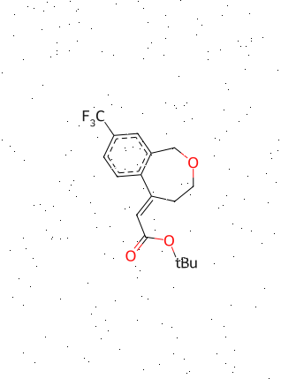 CC(C)(C)OC(=O)C=C1CCOCc2cc(C(F)(F)F)ccc21